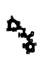 O=C(NCc1ccccn1)c1cocn1